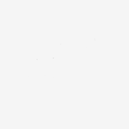 CCC(OCOC)c1cc2ccc(-c3ccccc3C(=O)O)cc2cc1C12CC3CC(CC(C3)C1)C2